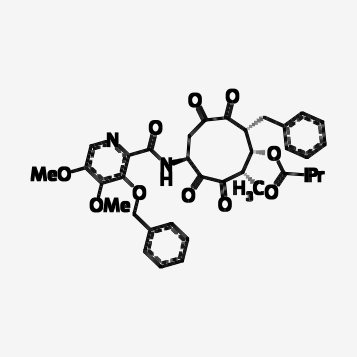 COc1cnc(C(=O)N[C@H]2CC(=O)C(=O)[C@H](Cc3ccccc3)[C@H](OC(=O)C(C)C)[C@H](C)C(=O)C2=O)c(OCc2ccccc2)c1OC